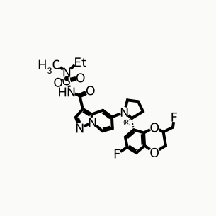 CCN(C)S(=O)(=O)NC(=O)c1cnn2ccc(N3CCC[C@@H]3c3cc(F)cc4c3OC(CF)CO4)cc12